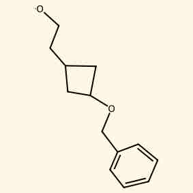 [O]CCC1CC(OCc2ccccc2)C1